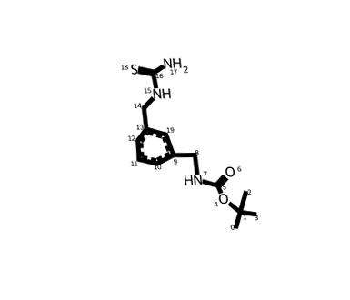 CC(C)(C)OC(=O)NCc1cccc(CNC(N)=S)c1